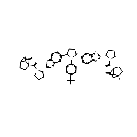 CC(C)(C)c1ccc(N2C(c3ccc4nc([C@@H]5CCCN5C(=O)[C@]56CC[C@H](CC5=O)C6(C)C)[nH]c4c3)CC[C@@H]2c2ccc3nc([C@@H]4CCCN4C(=O)[C@]45CC[C@H](CC4=O)C5(C)C)[nH]c3c2)cc1